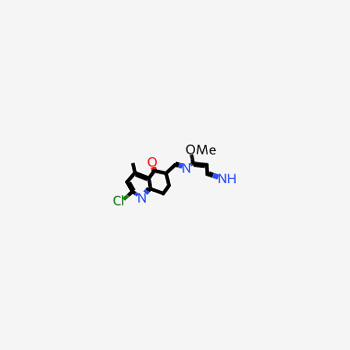 COC(=C/C=N)/N=C/C1CCc2nc(Cl)cc(C)c2C1=O